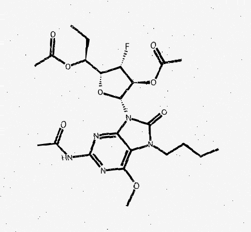 CCCCn1c(=O)n([C@@H]2O[C@H]([C@H](CC)OC(C)=O)[C@H](F)[C@H]2OC(C)=O)c2nc(NC(C)=O)nc(OC)c21